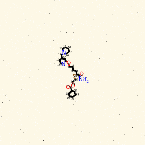 NC(=O)C(CC=CCOc1cc(CN2CCCCC2)ccn1)SCCOC(=O)c1ccccc1